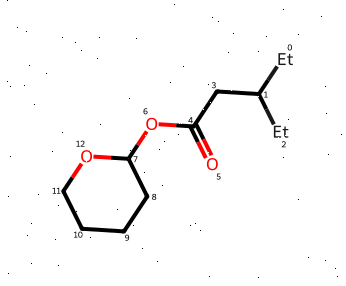 CCC(CC)CC(=O)OC1CCCCO1